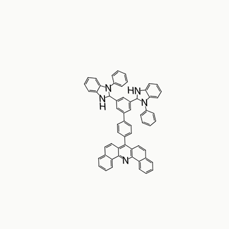 c1ccc(N2c3ccccc3NC2c2cc(-c3ccc(-c4c5ccc6ccccc6c5nc5c4ccc4ccccc45)cc3)cc(C3Nc4ccccc4N3c3ccccc3)c2)cc1